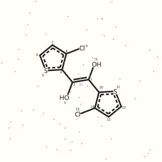 O/C(=C(/O)c1sccc1Cl)c1sccc1Cl